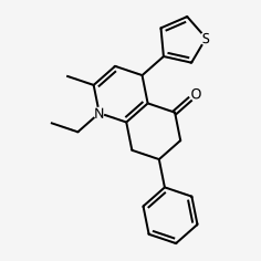 CCN1C(C)=CC(c2ccsc2)C2=C1CC(c1ccccc1)CC2=O